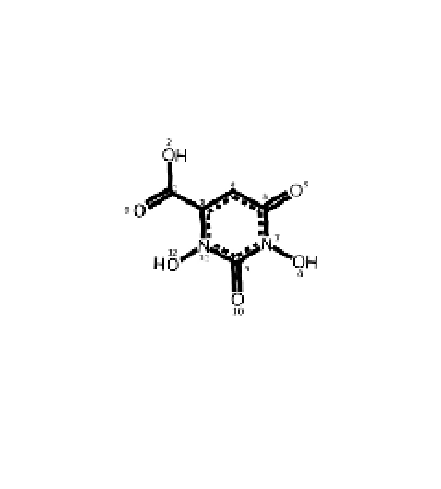 O=C(O)c1cc(=O)n(O)c(=O)n1O